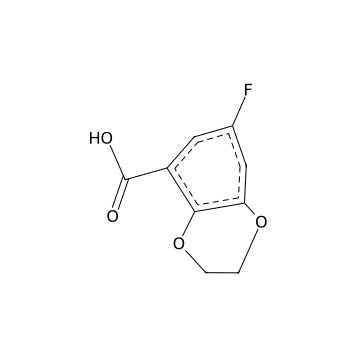 O=C(O)c1cc(F)cc2c1OCCO2